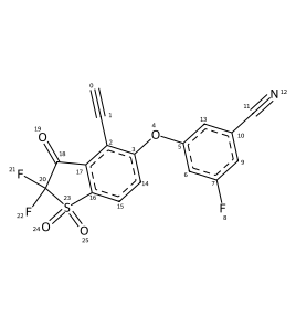 C#Cc1c(Oc2cc(F)cc(C#N)c2)ccc2c1C(=O)C(F)(F)S2(=O)=O